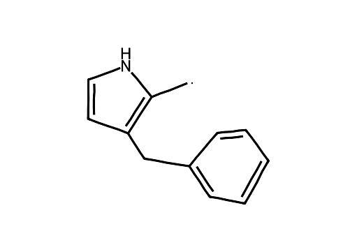 [CH2]c1[nH]ccc1Cc1ccccc1